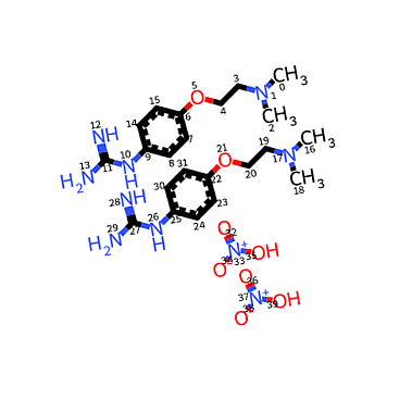 CN(C)CCOc1ccc(NC(=N)N)cc1.CN(C)CCOc1ccc(NC(=N)N)cc1.O=[N+]([O-])O.O=[N+]([O-])O